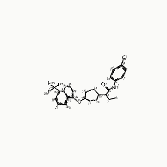 CCC(C(=O)Nc1ccc(Cl)cc1)C1CCC(Oc2ccnc3c(C(F)(F)F)cccc23)CC1